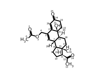 CC(=O)OCC1=C[C@H]2[C@@H]3CC[C@H](C(C)=O)[C@@]3(C)CC[C@@H]2[C@@]2(C)CCC(=O)C=C12